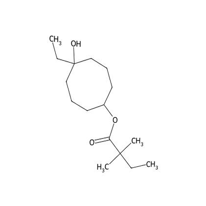 CCC1(O)CCCC(OC(=O)C(C)(C)CC)CCC1